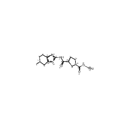 CN1CCc2nc(NC(=O)C3CCN(C(=O)OC(C)(C)C)C3)sc2C1